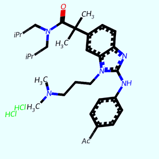 CC(=O)c1ccc(Nc2nc3ccc(C(C)(C)C(=O)N(CC(C)C)CC(C)C)cc3n2CCCN(C)C)cc1.Cl.Cl